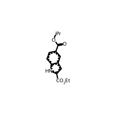 CCOC(=O)c1cc2cc(C(=O)OC(C)C)ccc2[nH]1